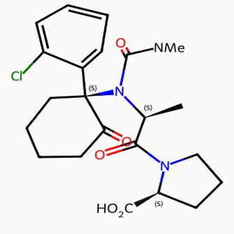 CNC(=O)N([C@@H](C)C(=O)N1CCC[C@H]1C(=O)O)[C@]1(c2ccccc2Cl)CCCCC1=O